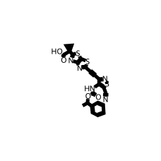 CC(OC(=O)Nc1c(C#Cc2nc3nc(C4(C(=O)O)CC4)sc3s2)nsc1C#N)c1ccccc1